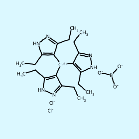 CCc1n[nH]c(CC)[c]1[Cr+5]([c]1c(CC)n[nH]c1CC)[c]1c(CC)n[nH]c1CC.[Cl-].[Cl-].[O-]B([O-])[O-]